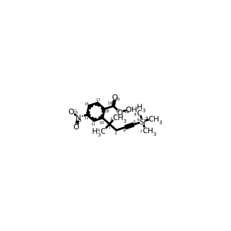 CC(C)(CC#C[Si](C)(C)C)c1cc([N+](=O)[O-])ccc1C(=O)OO